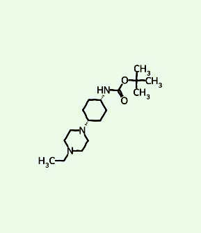 CCN1CCN([C@H]2CC[C@@H](NC(=O)OC(C)(C)C)CC2)CC1